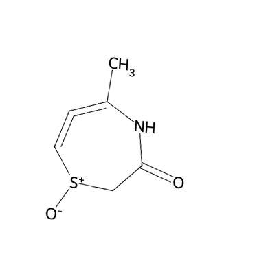 CC1=C=C[S+]([O-])CC(=O)N1